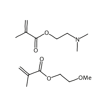 C=C(C)C(=O)OCCN(C)C.C=C(C)C(=O)OCCOC